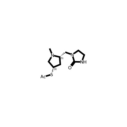 CC(=O)S[C@H]1C[C@@H](CN2CCNC2=O)N(C)C1